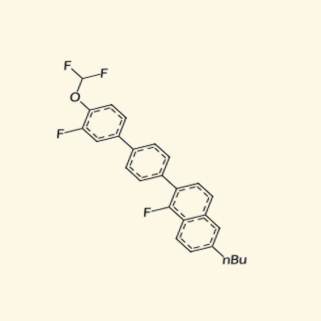 CCCCc1ccc2c(F)c(-c3ccc(-c4ccc(OC(F)F)c(F)c4)cc3)ccc2c1